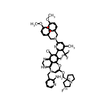 COc1ccc(CN(Cc2ccc(OC)cc2)c2cc(C)c(C(F)(F)F)c(-c3c(F)c4c5c(c3Cl)=NCNC=5N(Cc3cccnc3N)C=C(OC[C@@]35CCCN3C[C@H](F)C5)O4)n2)cc1